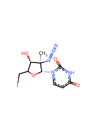 C[C@@]1(N=[N+]=[N-])[C@H](O)C(CI)O[C@H]1n1ccc(=O)[nH]c1=O